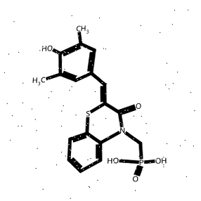 Cc1cc(C=C2Sc3ccccc3N(CP(=O)(O)O)C2=O)cc(C)c1O